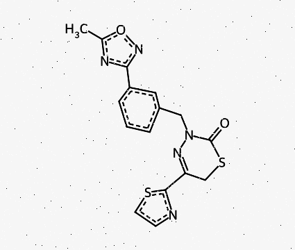 Cc1nc(-c2cccc(CN3N=C(c4nccs4)CSC3=O)c2)no1